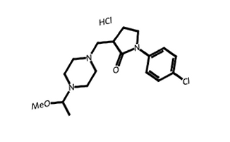 COC(C)N1CCN(CC2CCN(c3ccc(Cl)cc3)C2=O)CC1.Cl